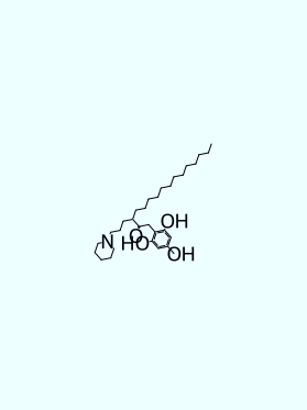 CCCCCCCCCCCCCC(CCCN1CCCCC1)C(=O)Cc1c(O)cc(O)cc1O